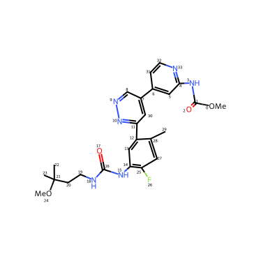 COC(=O)Nc1cc(-c2cnnc(-c3cc(NC(=O)NCCC(C)(C)OC)c(F)cc3C)c2)ccn1